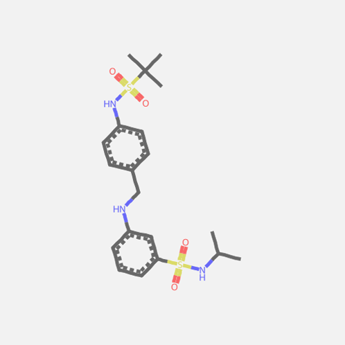 CC(C)NS(=O)(=O)c1cccc(NCc2ccc(NS(=O)(=O)C(C)(C)C)cc2)c1